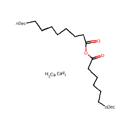 CCCCCCCCCCCCCCCCCC(=O)OC(=O)CCCCCCCCCCCCCCC.[CaH2].[CaH2]